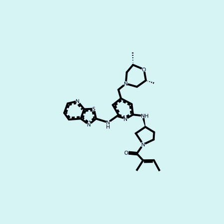 C/C=C(\C)C(=O)N1CC[C@H](Nc2cc(CN3C[C@@H](C)O[C@@H](C)C3)cc(Nc3nc4cccnc4s3)n2)C1